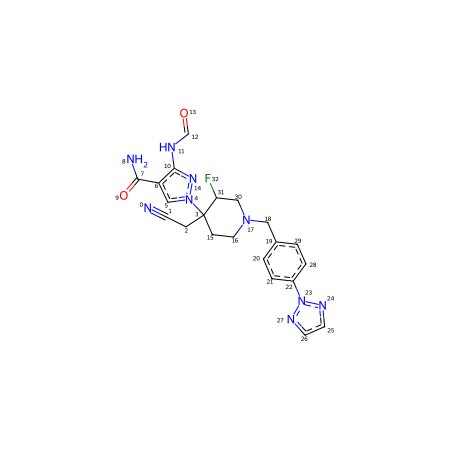 N#CCC1(n2cc(C(N)=O)c(NC=O)n2)CCN(Cc2ccc(-n3nccn3)cc2)CC1F